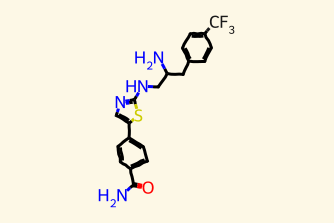 NC(=O)c1ccc(-c2cnc(NCC(N)Cc3ccc(C(F)(F)F)cc3)s2)cc1